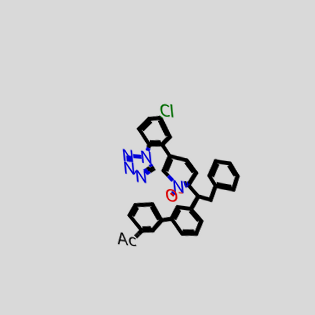 CC(=O)c1cccc(-c2cccc(C(Cc3ccccc3)c3ccc(-c4cc(Cl)ccc4-n4cnnn4)c[n+]3[O-])c2)c1